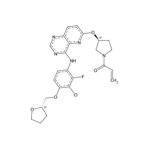 C=CC(=O)N1CC[C@H](Oc2ccc3ncnc(Nc4ccc(OC[C@@H]5CCCO5)c(Cl)c4F)c3n2)C1